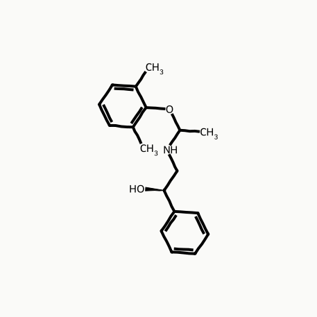 Cc1cccc(C)c1OC(C)NC[C@H](O)c1ccccc1